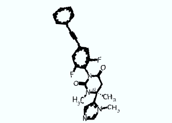 CN1C(=O)N(c2c(F)cc(C#Cc3ccccc3)cc2F)C(=O)C[C@@]1(C)c1cncn1C